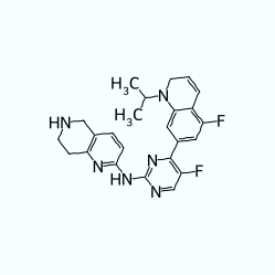 CC(C)N1CC=Cc2c(F)cc(-c3nc(Nc4ccc5c(n4)CCNC5)ncc3F)cc21